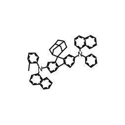 Cc1ccccc1N(c1ccc2c(c1)C1(c3cc(N(c4ccccc4)c4cccc5ccccc45)ccc3-2)C2CC3CC(C2)CC1C3)c1cccc2ccccc12